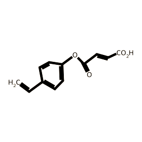 C=Cc1ccc(OC(=O)C=CC(=O)O)cc1